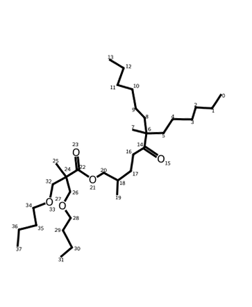 CCCCCCC(C)(CCCCCC)C(=O)CCC(C)COC(=O)C(C)(COCCCC)COCCCC